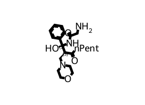 CCCCCC(=O)[C@@H](CN1CCOCC1)[C@@](O)(NC(=O)CN)c1ccccc1